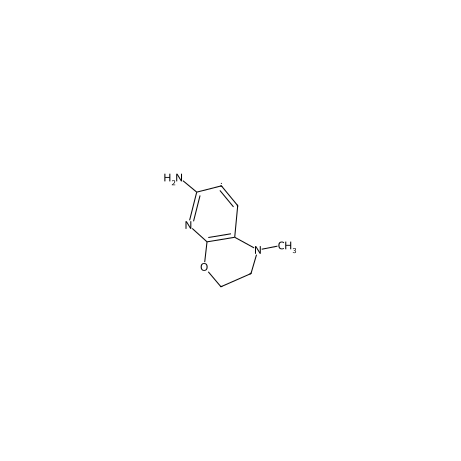 CN1CCOc2nc(N)[c]cc21